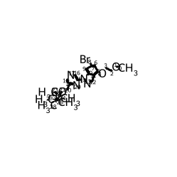 COCCOc1cc(Br)cc2c1cnn2-c1cncc(CO[Si](C)(C)C(C)(C)C)n1